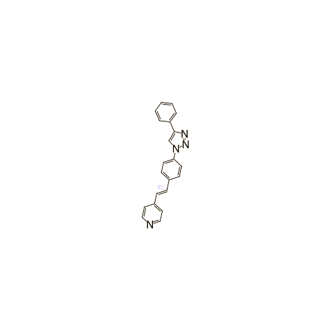 C(=C\c1ccc(-n2cc(-c3ccccc3)nn2)cc1)/c1ccncc1